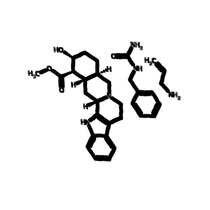 C=CCN.COC(=O)[C@@H]1[C@H]2C[C@H]3c4[nH]c5ccccc5c4CCN3C[C@@H]2CC[C@@H]1O.NC(=O)NCc1ccccc1